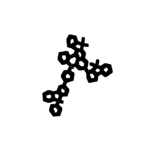 CC1(C)c2ccccc2-c2c(-c3ccccc3N(c3ccc(-c4ccc5c(c4)-c4ccccc4C5(C)c4ccccc4)cc3)c3cccc(-c4cccc5c4C(C)(C)c4ccccc4-5)c3)cccc21